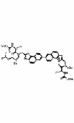 CCCCN(Cc1nc2ccc3cc(-c4ccc5c(ccc6nc(CN(C[C@H](CC)COC(F)F)C(=O)[C@@H](NC(=O)OC)C(C)C)[nH]c65)c4)ccc3c2[nH]1)C(=O)C(NC(=O)OC)C(C)C